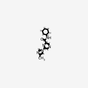 Cc1cn(-c2cncc(C(=O)NC3CCCCC3)n2)cn1